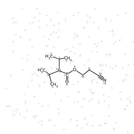 CC(C)N(C(C)C)[P](=O)OCCC#N